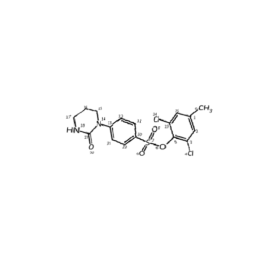 Cc1cc(Cl)c(OS(=O)(=O)c2ccc(N3CCCNC3=O)cc2)c(Cl)c1